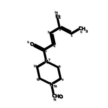 CC=C(C=CC(=O)N1CCN(C=O)CC1)CC